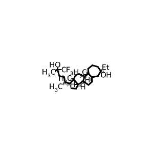 CC[C@]1(O)CCC[C@@]2(C)C(=CC[C@H]3[C@@H]4CC[C@H]([C@H](C)CC[C@](C)(O)C(F)(F)F)[C@@]4(C)CC[C@@H]32)C1